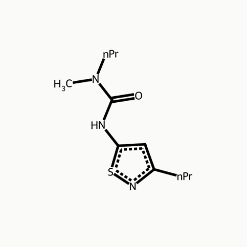 CCCc1cc(NC(=O)N(C)CCC)sn1